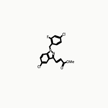 COC(=O)C=Cc1nn(Cc2ccc(Cl)cc2F)c2ccc(Cl)cc12